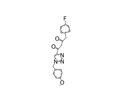 COc1ccc(Cn2cc(C(=O)CC(=O)Cc3ccc(F)cc3)nn2)cc1